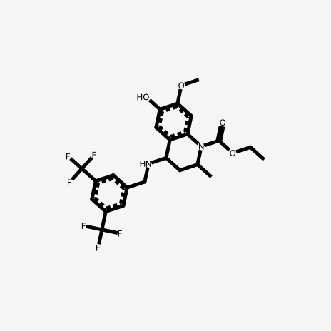 CCOC(=O)N1c2cc(OC)c(O)cc2C(NCc2cc(C(F)(F)F)cc(C(F)(F)F)c2)CC1C